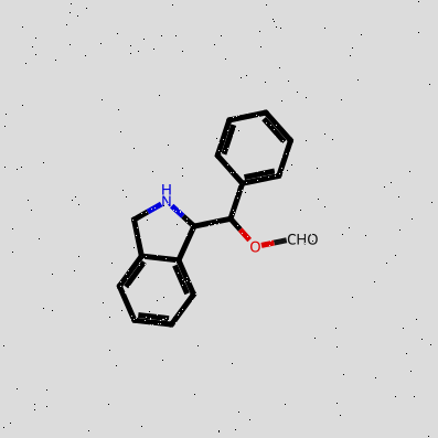 O=COC(c1ccccc1)C1NCc2ccccc21